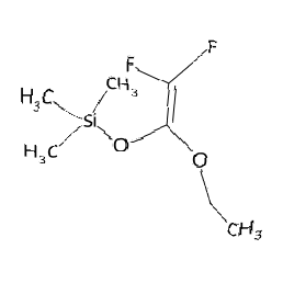 CCOC(O[Si](C)(C)C)=C(F)F